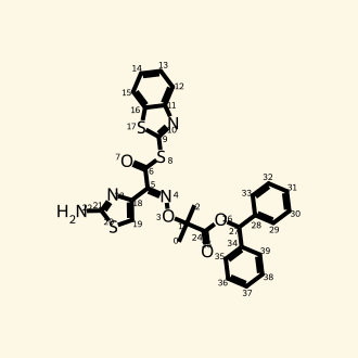 CC(C)(ON=C(C(=O)Sc1nc2ccccc2s1)c1csc(N)n1)C(=O)OC(c1ccccc1)c1ccccc1